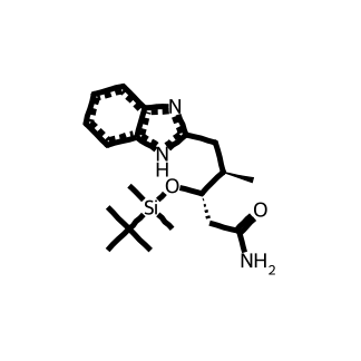 C[C@H](Cc1nc2ccccc2[nH]1)[C@H](CC(N)=O)O[Si](C)(C)C(C)(C)C